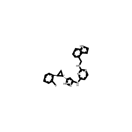 Fc1ccccc1[C@H]1C[C@@H]1c1cc(Nc2ccnc(NCc3cccc4[nH]ccc34)n2)n[nH]1